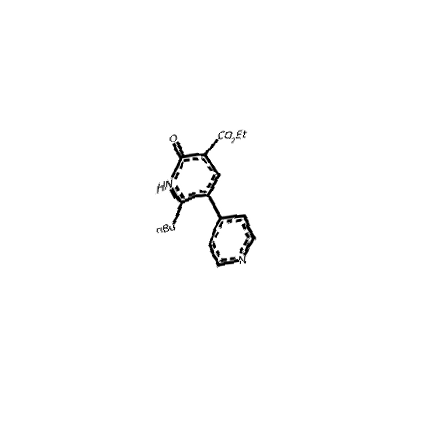 CCCCc1[nH]c(=O)c(C(=O)OCC)cc1-c1ccncc1